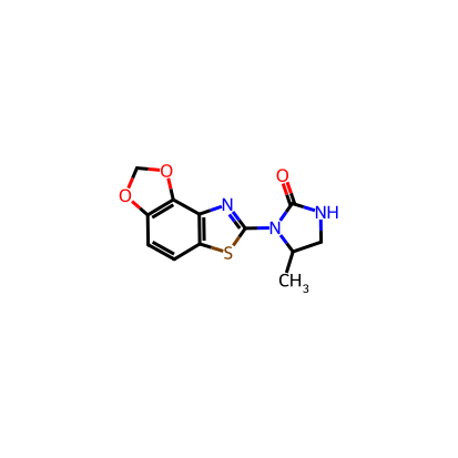 CC1CNC(=O)N1c1nc2c3c(ccc2s1)OCO3